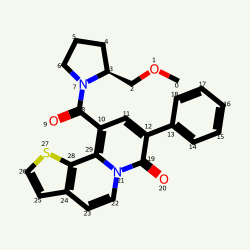 COC[C@@H]1CCCN1C(=O)c1cc(-c2ccccc2)c(=O)n2ccc3ccsc3c12